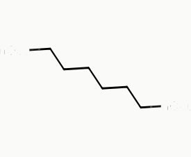 C[CH]CCCCCCCCCCCCCCCCCCCC